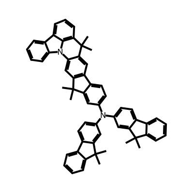 CC1(C)c2ccccc2-c2ccc(N(c3ccc4c(c3)C(C)(C)c3ccccc3-4)c3ccc4c(c3)C(C)(C)c3cc5c(cc3-4)C(C)(C)c3cccc4c6ccccc6n-5c34)cc21